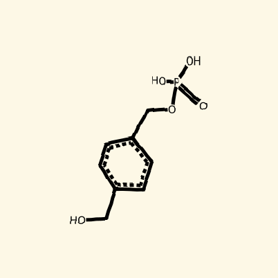 O=P(O)(O)OCc1ccc(CO)cc1